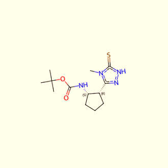 Cn1c([C@@H]2CCC[C@@H]2NC(=O)OC(C)(C)C)n[nH]c1=S